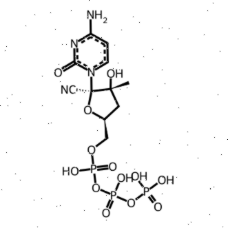 C[C@@]1(O)C[C@@H](COP(=O)(O)OP(=O)(O)OP(=O)(O)O)O[C@@]1(C#N)n1ccc(N)nc1=O